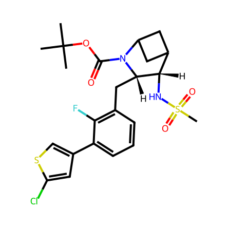 CC(C)(C)OC(=O)N1C2CC(C2)[C@H](NS(C)(=O)=O)[C@@H]1Cc1cccc(-c2csc(Cl)c2)c1F